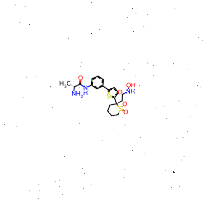 C[C@@H](N)C(=O)Nc1cccc(-c2ccc([C@@]3(CC(=O)NO)CCCCS3(=O)=O)s2)c1